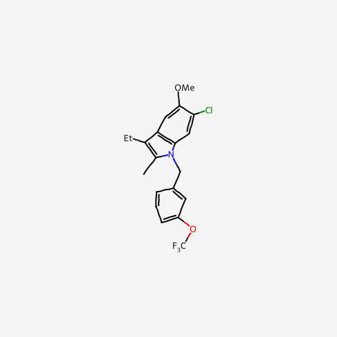 CCc1c(C)n(Cc2cccc(OC(F)(F)F)c2)c2cc(Cl)c(OC)cc12